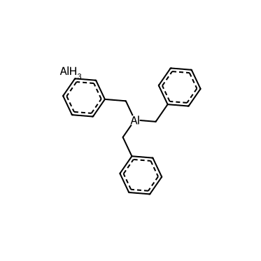 [AlH3].c1ccc([CH2][Al]([CH2]c2ccccc2)[CH2]c2ccccc2)cc1